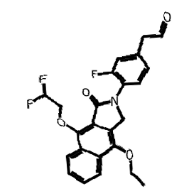 CCOc1c2c(c(OCC(F)F)c3ccccc13)C(=O)N(c1ccc(CC=O)cc1F)C2